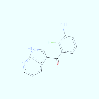 Nc1cccc(C(=O)c2c[nH]c3ncccc23)c1F